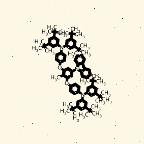 Cc1c(Oc2ccc(N(c3cc(C(C)(C)C)cc(C(C)(C)C)c3)c3cc(C(C)(C)C)cc(C(C)(C)C)c3)cc2)cc(-n2c3ccccc3c3ccccc32)cc1Oc1ccc(N(c2cc(C(C)(C)C)cc(C(C)(C)C)c2)c2cc(C(C)(C)C)cc(C(C)(C)C)c2)cc1